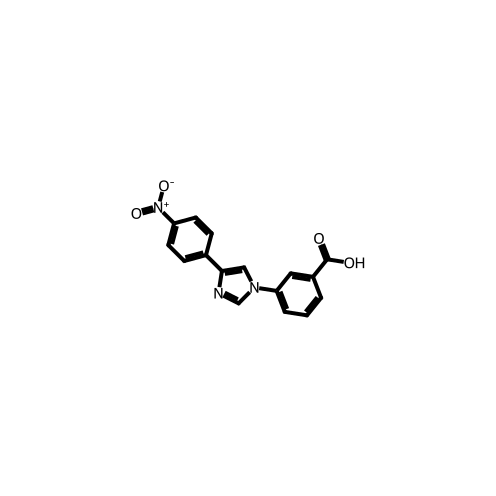 O=C(O)c1cccc(-n2cnc(-c3ccc([N+](=O)[O-])cc3)c2)c1